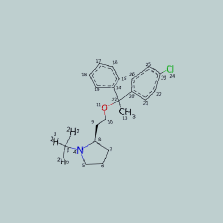 [2H]C([2H])([2H])N1CCC[C@@H]1CCOC(C)(c1ccccc1)c1ccc(Cl)cc1